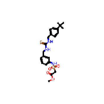 COC(=O)CS(=O)(=O)Nc1cccc(CNC(=S)NCc2ccc(C(C)(C)C)cc2)c1